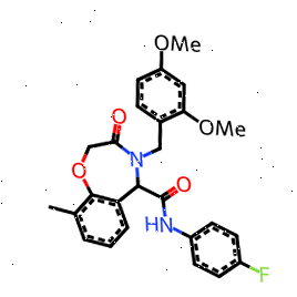 COc1ccc(CN2C(=O)COc3c(C)cccc3C2C(=O)Nc2ccc(F)cc2)c(OC)c1